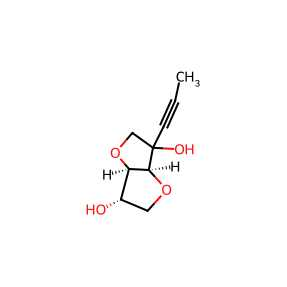 CC#CC1(O)CO[C@@H]2[C@@H](O)CO[C@@H]21